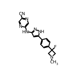 CN1CC(F)(c2ccc(-c3cc(Nc4cnc(C#N)cn4)n[nH]3)cc2)C1